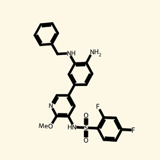 COc1ncc(-c2ccc(N)c(NCc3ccccc3)c2)cc1NS(=O)(=O)c1ccc(F)cc1F